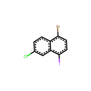 Clc1ccc2c(Br)ccc(I)c2c1